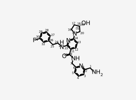 NCc1cccc(CNC(=O)c2ccc(N3CC[C@H](O)C3)nc2NCCc2cccc(F)c2)n1